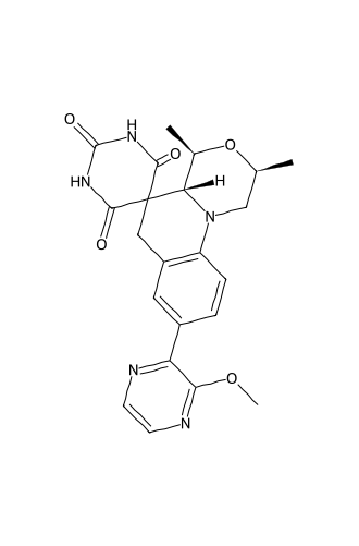 COc1nccnc1-c1ccc2c(c1)CC1(C(=O)NC(=O)NC1=O)[C@@H]1[C@@H](C)O[C@@H](C)CN21